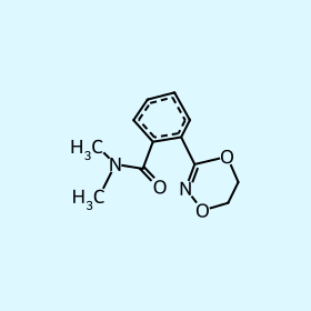 CN(C)C(=O)c1ccccc1C1=NOCCO1